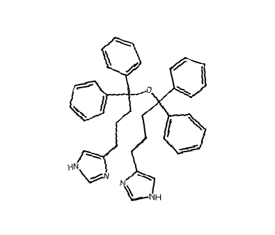 c1ccc(C(CCCc2c[nH]cn2)(OC(CCCc2c[nH]cn2)(c2ccccc2)c2ccccc2)c2ccccc2)cc1